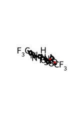 Cc1ccc(COCC(F)(F)F)c(N2C(=O)CSC2=NC(=O)Nc2ccc(-c3ncn(-c4ccc(C(F)(F)F)cc4)n3)cc2F)c1